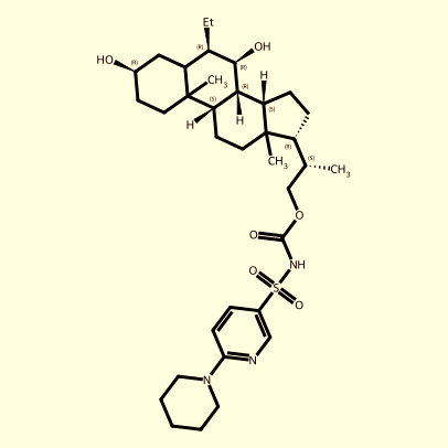 CC[C@@H]1C2C[C@H](O)CCC2(C)[C@H]2CCC3(C)[C@@H]([C@H](C)COC(=O)NS(=O)(=O)c4ccc(N5CCCCC5)nc4)CC[C@H]3[C@H]2[C@@H]1O